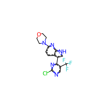 FC(F)(F)c1cnc(Cl)nc1-c1c[nH]c2nc(N3CCOCC3)ccc12